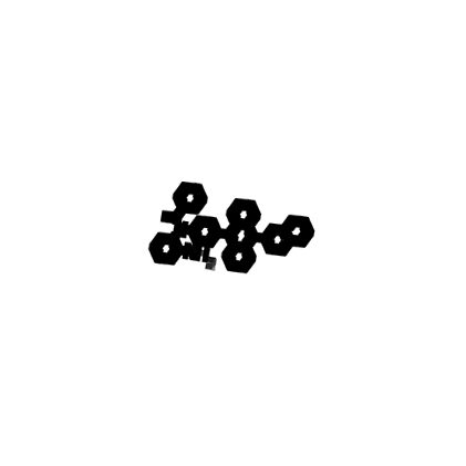 C=C(c1ccccc1)N(c1ccc(-c2c3ccccc3c(-c3ccc4ccccc4c3)c3ccccc23)cc1)c1ccccc1N